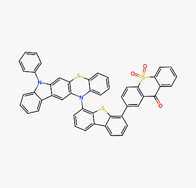 O=C1c2ccccc2S(=O)(=O)c2ccc(-c3cccc4c3sc3c(N5c6ccccc6Sc6cc7c(cc65)c5ccccc5n7-c5ccccc5)cccc34)cc21